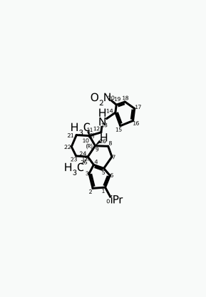 CC(C)c1ccc2c(c1)CC[C@H]1[C@@](C)(CNc3ccccc3[N+](=O)[O-])CCC[C@]21C